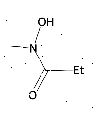 [CH2]CC(=O)N(C)O